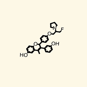 CC1=C(c2cccc(O)c2)C(c2ccc(OCC(CF)N3CCCC3)cc2)Oc2ccc(O)cc21